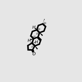 C[C@@H]1CC[C@]2(C)C3=CC[C@]4(C)C(=O)CC[C@H]4[C@@H]3CC[C@@H]2C1